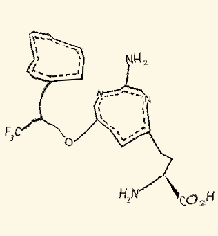 Nc1nc(C[C@H](N)C(=O)O)cc(OC(c2ccccc2)C(F)(F)F)n1